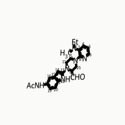 CCN(C)c1cccnc1N1CCN(c2cc3cc(NC(C)=O)ccc3[nH]2)C(C=O)C1